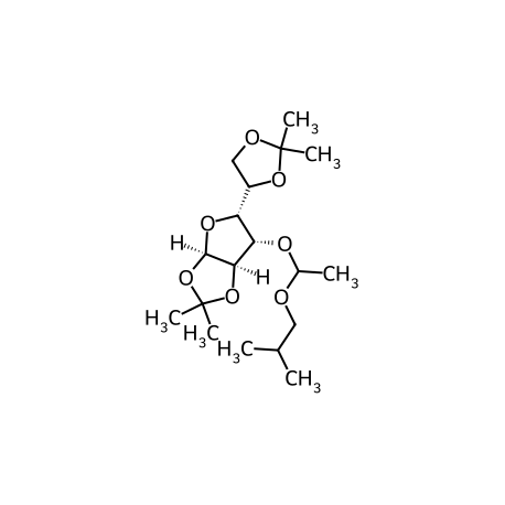 CC(C)COC(C)O[C@@H]1[C@H]2OC(C)(C)O[C@H]2O[C@@H]1C1COC(C)(C)O1